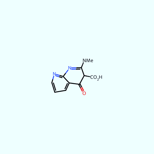 CNC1=Nc2ncccc2C(=O)C1C(=O)O